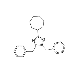 c1ccc(Cc2nc(C3CCCCCC3)oc2Cc2ccccc2)cc1